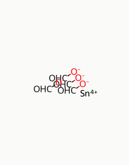 O=C[O-].O=C[O-].O=C[O-].O=C[O-].[Sn+4]